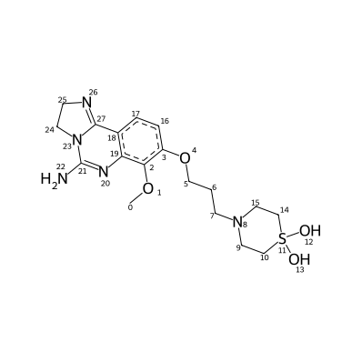 COc1c(OCCCN2CCS(O)(O)CC2)ccc2c1N=C(N)N1CCN=C21